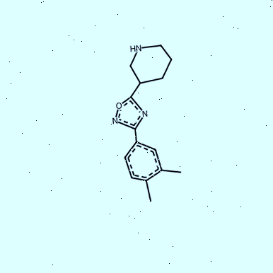 Cc1ccc(-c2noc(C3CCCNC3)n2)cc1C